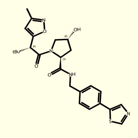 Cc1cc([C@H](C(=O)N2C[C@H](O)C[C@H]2C(=O)NCc2ccc(-c3cncs3)cc2)C(C)(C)C)on1